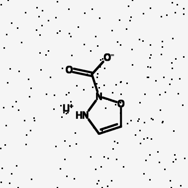 O=C([O-])N1NC=CO1.[Li+]